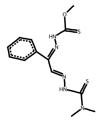 COC(=S)N/N=C(/C=N/NC(=S)N(C)C)c1ccccc1